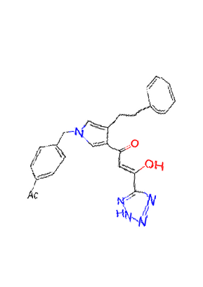 CC(=O)c1ccc(Cn2cc(CCc3ccccc3)c(C(=O)C=C(O)c3nn[nH]n3)c2)cc1